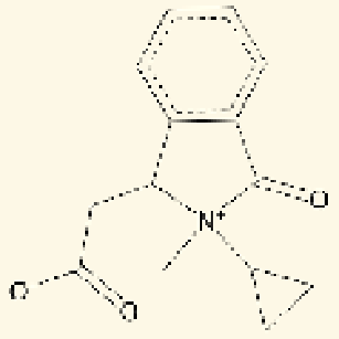 C[N+]1(C2CC2)C(=O)c2ccccc2C1CC(=O)[O-]